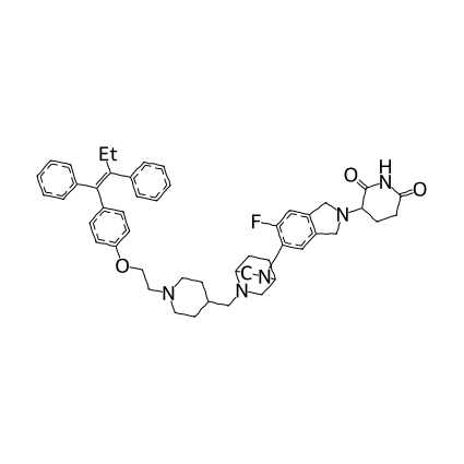 CCC(=C(c1ccccc1)c1ccc(OCCN2CCC(CN3CC4CCC3CN4c3cc4c(cc3F)CN(C3CCC(=O)NC3=O)C4)CC2)cc1)c1ccccc1